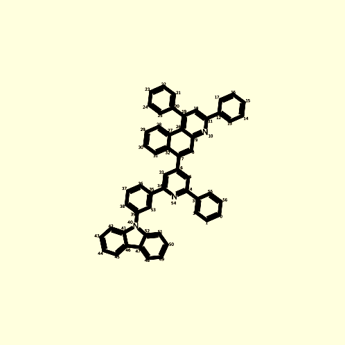 c1ccc(-c2cc(-c3cc4nc(-c5ccccc5)cc(-c5ccccc5)c4c4ccccc34)cc(-c3cccc(-n4c5ccccc5c5ccccc54)c3)n2)cc1